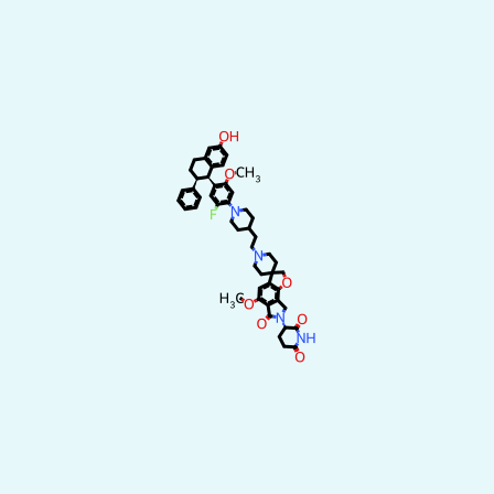 COc1cc(N2CCC(CCN3CCC4(CC3)COc3c4cc(OC)c4c3CN([C@@H]3CCC(=O)NC3=O)C4=O)CC2)c(F)cc1[C@@H]1c2ccc(O)cc2CC[C@@H]1c1ccccc1